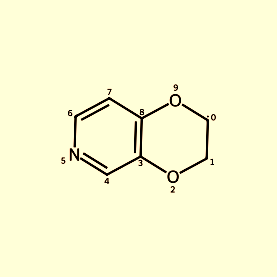 [CH]1COc2cnccc2O1